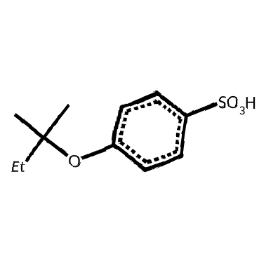 CCC(C)(C)Oc1ccc(S(=O)(=O)O)cc1